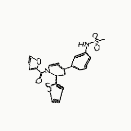 CS(=O)(=O)Nc1cccc(C2=C=CN(C(=O)c3ccco3)C(c3cccs3)C2)c1